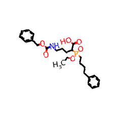 CCOP(=O)(CCCCc1ccccc1)C(CCCNC(=O)OCc1ccccc1)C(=O)O